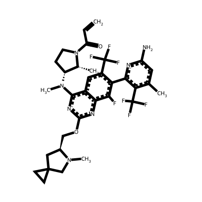 C=CC(=O)N1CC[C@@H](N(C)c2nc(OC[C@@H]3CC4(CC4)CN3C)nc3c(F)c(-c4nc(N)cc(C)c4C(F)(F)F)c(C(F)(F)F)cc23)[C@H]1C